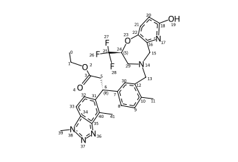 CCOC(=O)C[C@H](c1ccc(C)c(CN2Cc3nc(O)ccc3O[C@H](C(F)(F)F)C2)c1)c1ccc2c(nnn2C)c1C